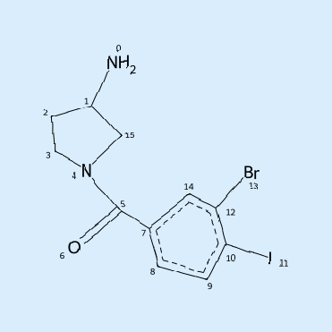 NC1CCN(C(=O)c2ccc(I)c(Br)c2)C1